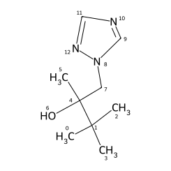 CC(C)(C)C(C)(O)Cn1cncn1